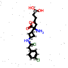 NC(CCCCB(O)O)(C(=O)O)C1CC(NC(Cl)Cc2ccc(Cl)cc2)C1